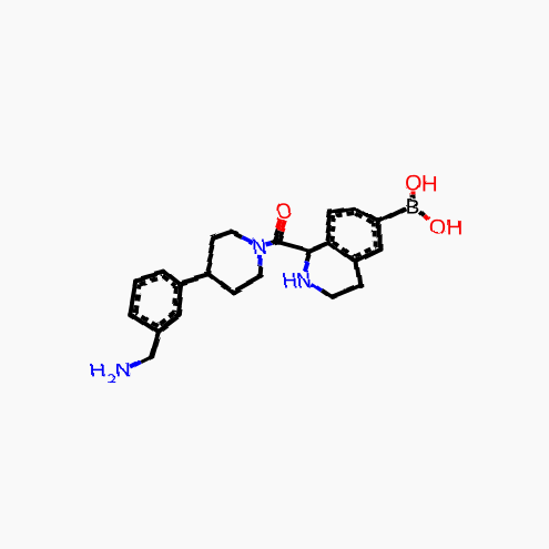 NCc1cccc(C2CCN(C(=O)C3NCCc4cc(B(O)O)ccc43)CC2)c1